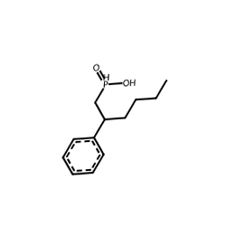 CCCCC(C[PH](=O)O)c1ccccc1